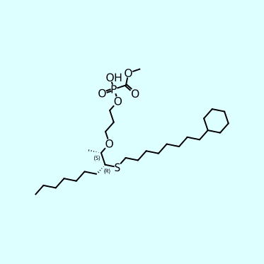 CCCCCCC[C@@H](SCCCCCCCCC1CCCCC1)[C@H](C)OCCCOP(=O)(O)C(=O)OC